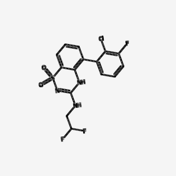 O=S1(=O)N=C(NCC(F)F)Nc2c(-c3cccc(F)c3Cl)cccc21